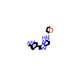 NCc1ccc(-c2cnc3ccc(NC[C@@H]4CCCO4)nn23)cc1